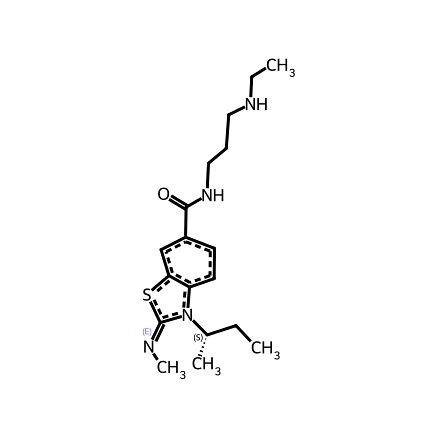 CCNCCCNC(=O)c1ccc2c(c1)s/c(=N/C)n2[C@@H](C)CC